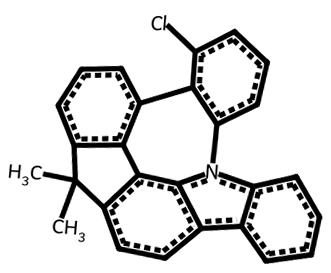 CC1(C)c2cccc3c2-c2c1ccc1c4ccccc4n(c21)-c1cccc(Cl)c1-3